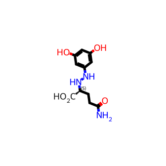 NC(=O)CC[C@H](NNc1cc(O)cc(O)c1)C(=O)O